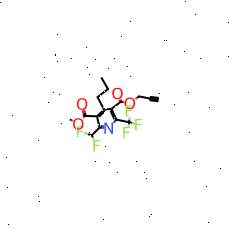 C#CCOC(=O)c1c(C(F)(F)F)nc(C(F)F)c(C(=O)OC)c1CCC